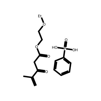 C=C(C)C(=O)CC(=O)OCCOCC.O=P(O)(O)c1ccccc1